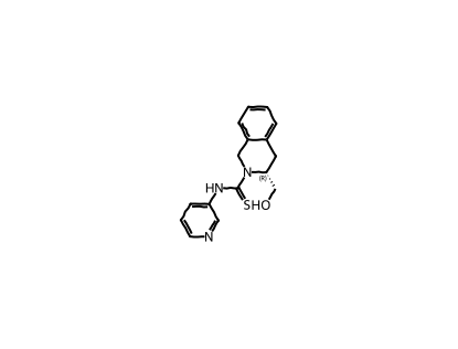 OC[C@H]1Cc2ccccc2CN1C(=S)Nc1cccnc1